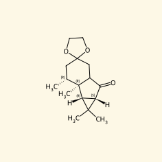 C[C@@H]1CC2(CC3C(=O)[C@H]4[C@H](C4(C)C)[C@]31C)OCCO2